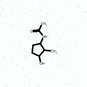 CC(=O)NC1CCC(O)C1C